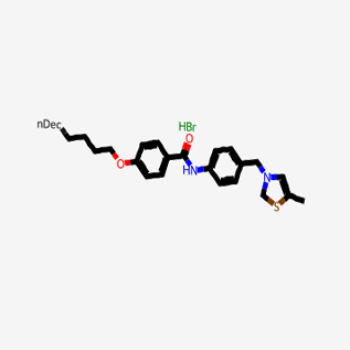 Br.CCCCCCCCCCCCCCOc1ccc(C(=O)Nc2ccc(CN3C=C(C)SC3)cc2)cc1